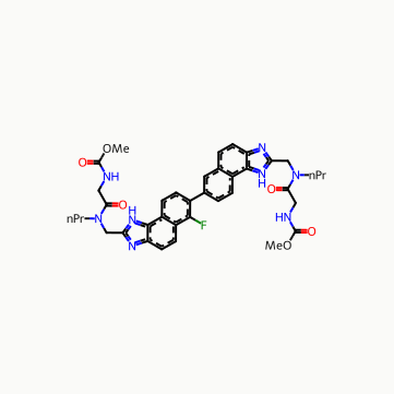 CCCN(Cc1nc2ccc3cc(-c4ccc5c(ccc6nc(CN(CCC)C(=O)CNC(=O)OC)[nH]c65)c4F)ccc3c2[nH]1)C(=O)CNC(=O)OC